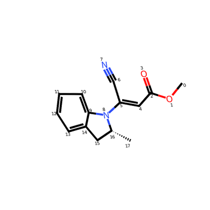 COC(=O)C=C(C#N)N1c2ccccc2C[C@H]1C